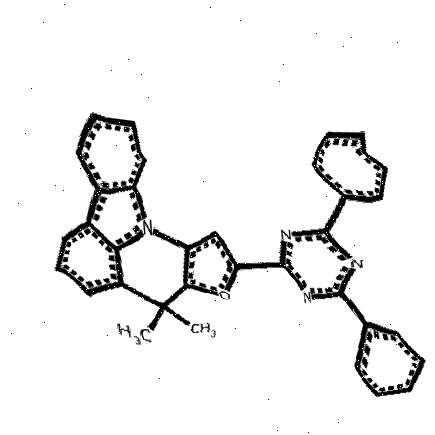 CC1(C)c2oc(-c3nc(-c4ccccc4)nc(-c4ccccc4)n3)cc2-n2c3ccccc3c3cccc1c32